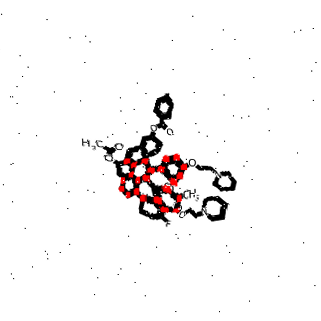 CC(=O)Oc1ccc2c(C(c3ccc(OCCN4CCCCC4)cc3)C(c3ccc(OCCN4CCCCC4)cc3)c3c(-c4cccc(Cl)c4OC(=O)c4ccccc4)ccc4cc(OC(=O)c5ccccc5)ccc34)c(-c3ccc(F)c(OC(C)=O)c3)ccc2c1